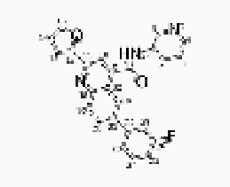 O=C(Nc1cccnc1)c1cc(-c2ccco2)nc2ccc(-c3cccc(F)c3)cc12